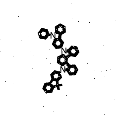 CC1(C)c2ccccc2-c2ccc(-n3c4ccccc4c4c5c6ccccc6n(-c6ccc7c(c6)c6ccccc6n7-c6ccccc6)c5ccc43)cc21